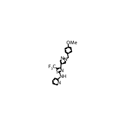 COc1ccc(Cn2cc(-c3nc(Nc4ccccn4)sc3C(F)(F)F)cn2)cc1